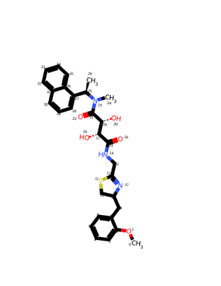 COc1ccccc1CC1CSC(CNC(=O)[C@H](O)[C@@H](O)C(=O)N(C)[C@H](C)c2cccc3ccccc23)=N1